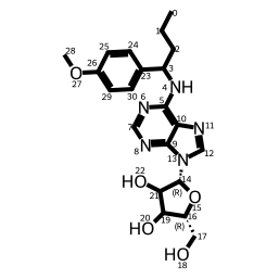 CCCC(Nc1ncnc2c1ncn2[C@@H]1O[C@H](CO)C(O)C1O)c1ccc(OC)cc1